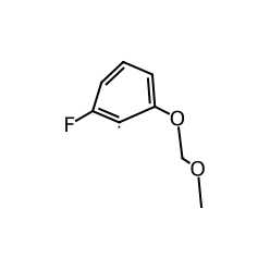 COCOc1[c]c(F)ccc1